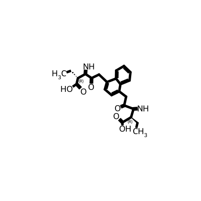 CC[C@H](C(=N)C(=O)Cc1ccc(CC(=O)C(=N)[C@@H](CC)C(=O)O)c2ccccc12)C(=O)O